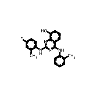 Cc1cc(F)ccc1Nc1nc(Nc2ccccc2C)c2cccc(O)c2n1